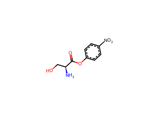 N[C@@H](CO)C(=O)Oc1ccc([N+](=O)[O-])cc1